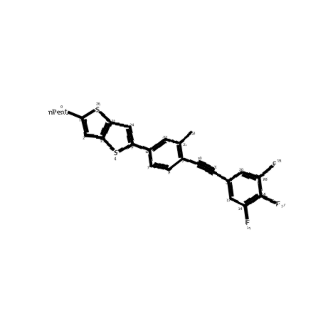 CCCCCc1cc2sc(-c3ccc(C#Cc4cc(F)c(F)c(F)c4)c(C)c3)cc2s1